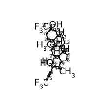 C[C@H]([C@H](O)C#CC(F)(F)F)[C@H]1CC[C@H]2[C@@H]3CC[C@@H]4C[C@@](O)(C(F)(F)F)CC[C@]4(C)[C@H]3CC[C@]12C